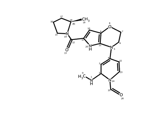 CNC1C=C(N2CCOc3cc(C(=O)N4CCC[C@H]4C)[nH]c32)C=CN1C=O